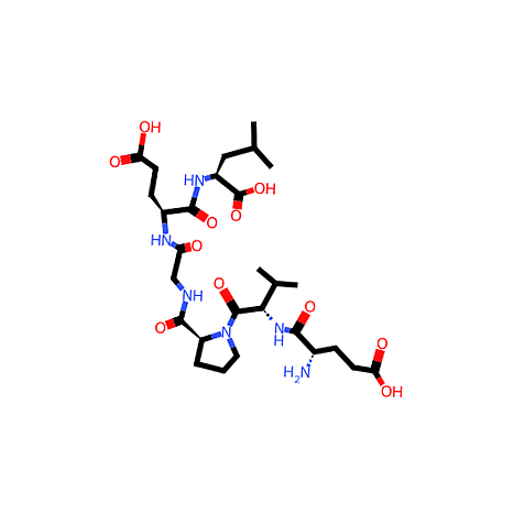 CC(C)C[C@H](NC(=O)[C@H](CCC(=O)O)NC(=O)CNC(=O)[C@@H]1CCCN1C(=O)[C@@H](NC(=O)[C@@H](N)CCC(=O)O)C(C)C)C(=O)O